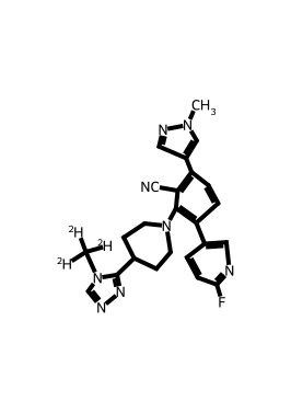 [2H]C([2H])([2H])n1cnnc1C1CCN(c2c(-c3ccc(F)nc3)ccc(-c3cnn(C)c3)c2C#N)CC1